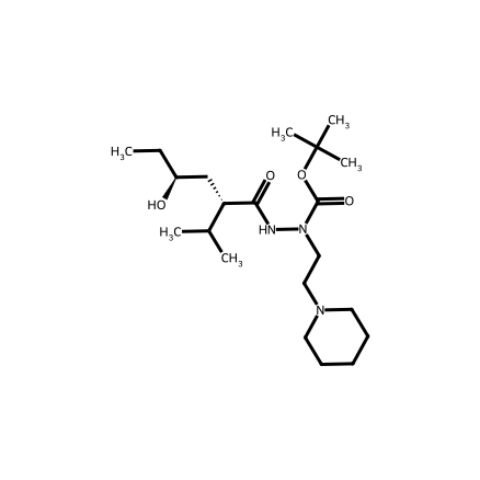 CC[C@H](O)C[C@H](C(=O)NN(CCN1CCCCC1)C(=O)OC(C)(C)C)C(C)C